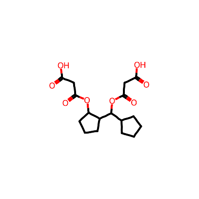 O=C(O)CC(=O)OC1CCCC1C(OC(=O)CC(=O)O)C1CCCC1